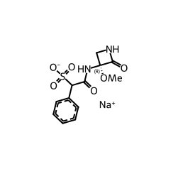 CO[C@]1(NC(=O)C(c2ccccc2)S(=O)(=O)[O-])CNC1=O.[Na+]